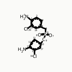 Nc1ccc(CS(=O)(=O)Cc2ccc(N)c(Cl)c2)cc1Cl